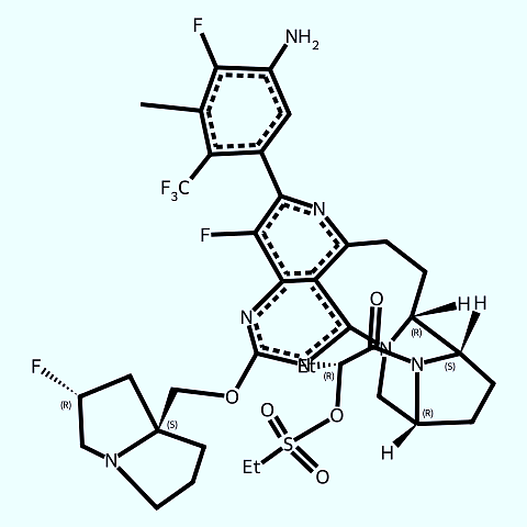 CC[C@@H](OS(=O)(=O)CC)C(=O)N1[C@@H]2CC[C@H]1[C@H]1CCc3nc(-c4cc(N)c(F)c(C)c4C(F)(F)F)c(F)c4nc(OC[C@@]56CCCN5C[C@H](F)C6)nc(c34)N1C2